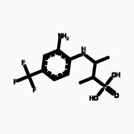 CC(Nc1ccc(C(F)(F)F)cc1N)C(C)P(=O)(O)O